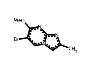 COc1nc2nc(C)cn2cc1Br